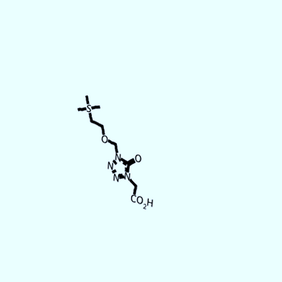 CS(C)(C)CCOCn1nnn(CC(=O)O)c1=O